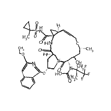 CCOc1cc2ccccc2c(O[C@@H]2C[C@H]3C(=O)N[C@]4(C(=O)NS(=O)(=O)C5(C)CC5)C[C@H]4/C=C\CC[C@H](C)C[C@@H](C)[C@H](N(C(=O)O)C(C)(C)C(F)(F)F)C(=O)N3C2)n1